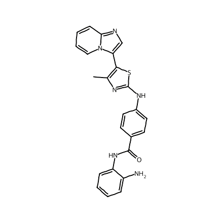 Cc1nc(Nc2ccc(C(=O)Nc3ccccc3N)cc2)sc1-c1cnc2ccccn12